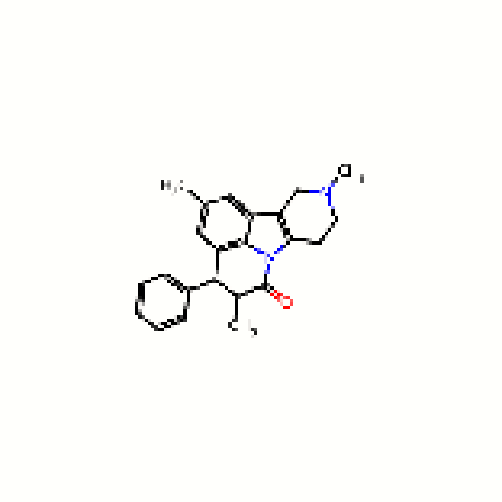 Cc1cc2c3c(c1)c1c(n3C(=O)C(C)C2c2ccccc2)CCN(C)C1